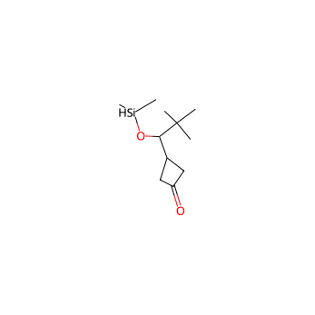 C[SiH](C)OC(C1CC(=O)C1)C(C)(C)C